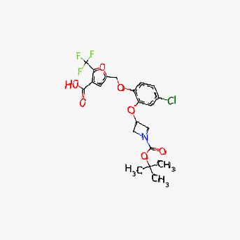 CC(C)(C)OC(=O)N1CC(Oc2cc(Cl)ccc2OCc2cc(C(=O)O)c(C(F)(F)F)o2)C1